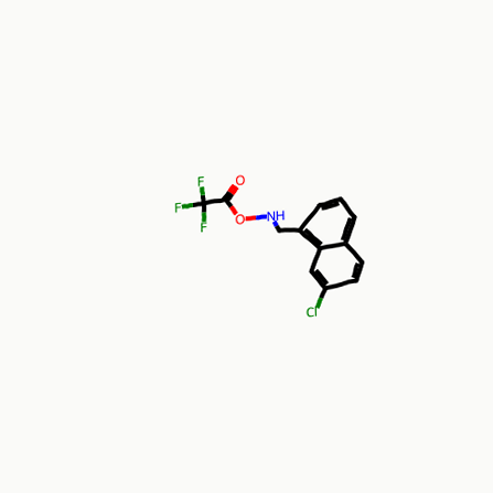 O=C(ONCc1cccc2ccc(Cl)cc12)C(F)(F)F